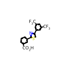 O=C(O)c1cccc(-c2nc(-c3cc(C(F)(F)F)cc(C(F)(F)F)c3)cs2)c1